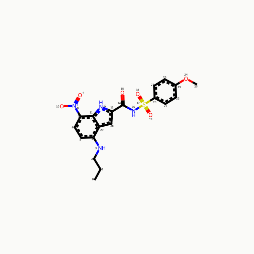 CCCNc1ccc([N+](=O)[O-])c2[nH]c(C(=O)NS(=O)(=O)c3ccc(OC)cc3)cc12